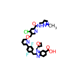 Cn1ccc(CNC(=O)c2cc(Cl)c(COc3cccc(-c4cc(F)c(Cc5nc6ccc(C(=O)O)cc6n5C[C@@H]5CCO5)cc4F)n3)cn2)n1